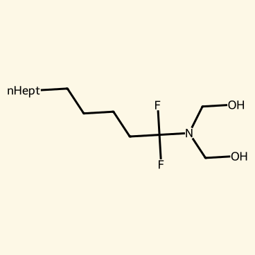 CCCCCCCCCCCC(F)(F)N(CO)CO